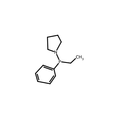 CCP(c1ccccc1)N1CCCC1